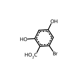 O=C(O)c1c(O)cc(O)cc1Br